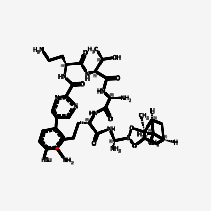 CCCCc1ccc(-c2cnc(C(=O)N[C@@H](CCN)C(=O)N[C@H](C(=O)N[C@@H](N)C(=O)N[C@@H](CCCCN)C(=O)N[C@@H](N)B3OC4C[C@@H]5C[C@@H](C5(C)C)[C@]4(C)O3)[C@@H](C)O)nc2)cc1